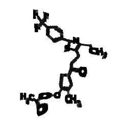 CCc1nc(-c2ccc(C(F)(F)F)cc2)sc1CCC(=O)c1ccc(OOC(C)=O)c(C)c1